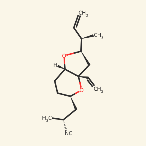 [C-]#[N+][C@H](C)C[C@H]1CC[C@@H]2O[C@@H]([C@H](C)C=C)C[C@]2(C=C)O1